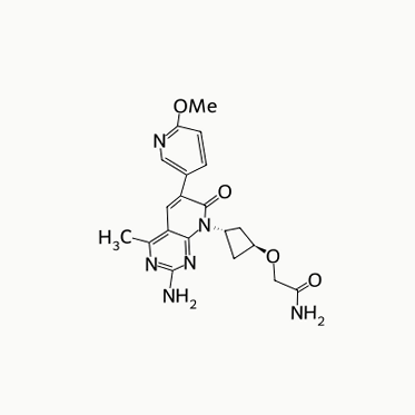 COc1ccc(-c2cc3c(C)nc(N)nc3n([C@H]3C[C@H](OCC(N)=O)C3)c2=O)cn1